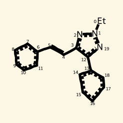 CCn1nc(/C=C/c2ccccc2)c(-c2ccccc2)n1